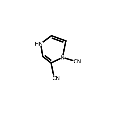 N#CC1=CNC=CN1C#N